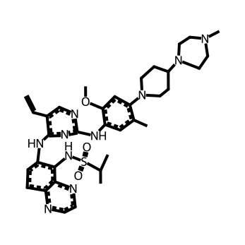 C=Cc1cnc(Nc2cc(C)c(N3CCC(N4CCN(C)CC4)CC3)cc2OC)nc1Nc1ccc2nccnc2c1NS(=O)(=O)C(C)C